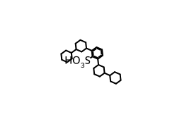 O=S(=O)(O)c1c(C2CCCC(C3CCCCC3)C2)cccc1C1CCCC(C2CCCCC2)C1